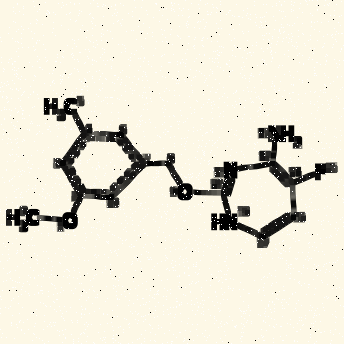 COc1cc(C)cc(COC2=NC(N)=C(F)C=CN2)c1